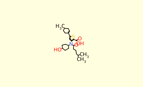 CC(C)CCCC(=O)N(c1cc(C2=CCC(C)CC2)sc1C(=O)O)C1CCC(O)CC1